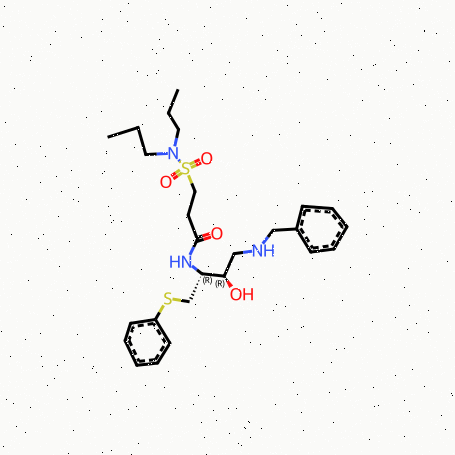 CCCN(CCC)S(=O)(=O)CCC(=O)N[C@@H](CSc1ccccc1)[C@H](O)CNCc1ccccc1